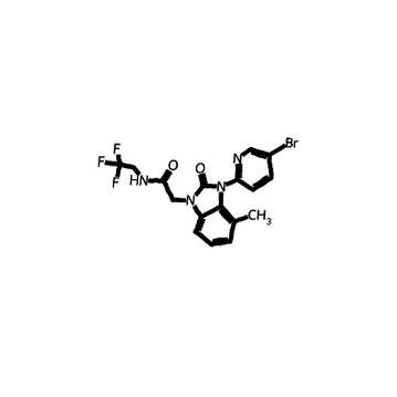 Cc1cccc2c1n(-c1ccc(Br)cn1)c(=O)n2CC(=O)NCC(F)(F)F